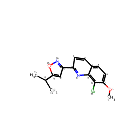 COc1ccc2[c]cc(-c3cc(C(C)C)on3)nc2c1Br